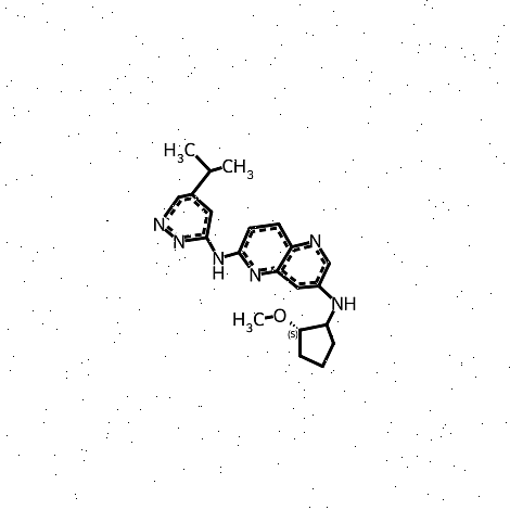 CO[C@H]1CCCC1Nc1cnc2ccc(Nc3cc(C(C)C)cnn3)nc2c1